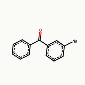 O=C(c1ccccc1)c1ccc[c]([Na])c1